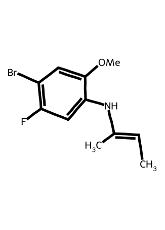 C/C=C(\C)Nc1cc(F)c(Br)cc1OC